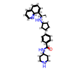 C[C@@H](NC1CC[C@H](c2ccc(C(=O)NC3CCNCC3)cc2)C1)c1cccc2cccnc12